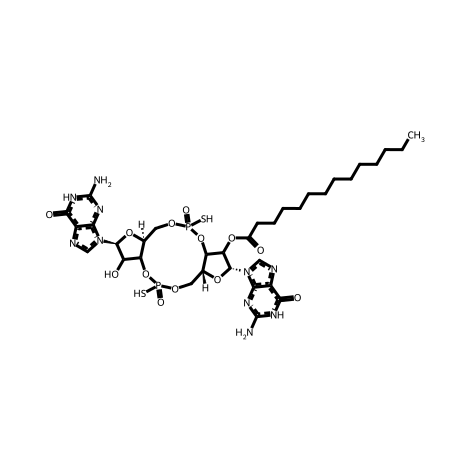 CCCCCCCCCCCCCC(=O)OC1C2OP(=O)(S)OC[C@@H]3O[C@H](n4cnc5c(=O)[nH]c(N)nc54)C(O)C3OP(=O)(S)OC[C@H]2O[C@H]1n1cnc2c(=O)[nH]c(N)nc21